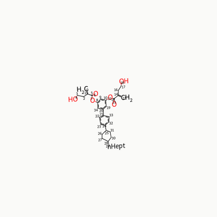 C=C(CCO)C(=O)Oc1cc(OC(=O)C(=C)CCO)cc(-c2ccc(C3CCC(CCCCCCC)CC3)cc2)c1